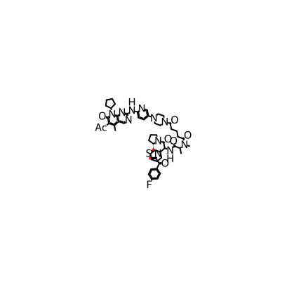 CC(=O)c1c(C)c2cnc(Nc3ccc(N4CCN(C(=O)CCCC(=O)N(C)C(C)C(=O)NC(C(=O)N5CCC[C@H]5c5nc(C(=O)c6ccc(F)cc6)cs5)C5CCCCC5)CC4)cn3)nc2n(C2CCCC2)c1=O